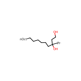 CCCCCCCCCCCCCCC(O)(CCO)[C](C)C